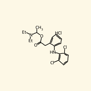 CCN(CC)C(C)OC(=O)Cc1ccccc1Nc1c(Cl)cccc1Cl.Cl